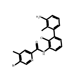 Cc1cc(C(=O)Nc2cccc(-c3cccc(N)c3C)c2Cl)ncc1Br